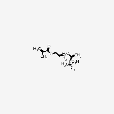 C=C.C=C(C)C(=O)O.C=CCOC(=O)C(=C)C